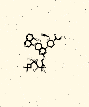 C=CC(=O)N1CCN(c2nc(OCC3S[C@]3(C)N(C)C3S[C@@]3(C)C3CC(F)(F)C3)nc3c2CCN(c2cncc4cccc(C)c24)C3)C[C@@H]1CC#N